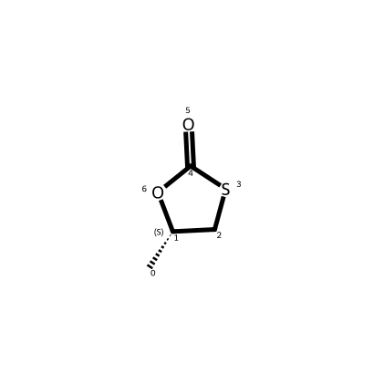 C[C@H]1CSC(=O)O1